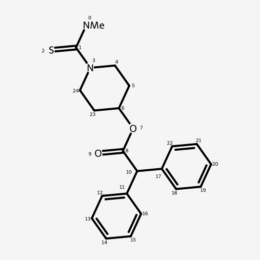 CNC(=S)N1CCC(OC(=O)C(c2ccccc2)c2ccccc2)CC1